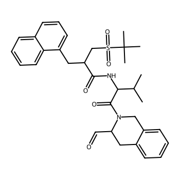 CC(C)C(NC(=O)C(Cc1cccc2ccccc12)CS(=O)(=O)C(C)(C)C)C(=O)N1Cc2ccccc2CC1C=O